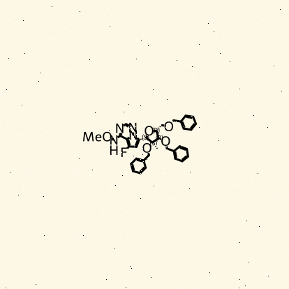 CONc1ncnn2c([C@@H]3O[C@H](COCc4ccccc4)[C@@H](OCc4ccccc4)[C@@]3(C)OCc3ccccc3)cc(F)c12